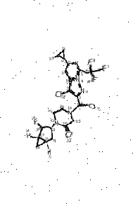 O=C(c1nn2c(C(F)(F)F)cc(C3CC3)cc2c1Cl)N1CCN([C@H]2C[C@@H]3C[C@@H]3C2F)C(=O)C1